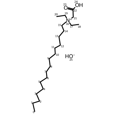 CCCCCCCCCCCCCCCC[N+](CC)(CC)CC(=O)O.[OH-]